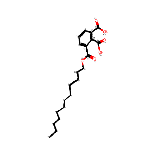 CCCCCCCCCCCCOC(=O)c1cccc(C(=O)O)c1C(=O)O